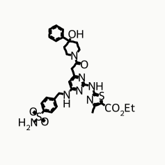 CCOC(=O)c1sc(Nc2nc(CC(=O)N3CCC(O)(c4ccccc4)CC3)cc(NCc3ccc(S(N)(=O)=O)cc3)n2)nc1C